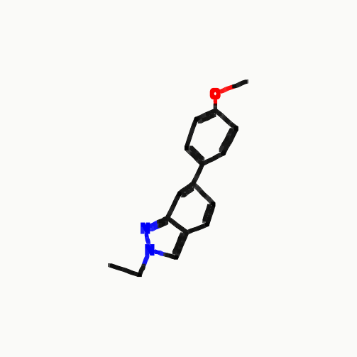 CCn1cc2ccc(-c3ccc(OC)cc3)cc2n1